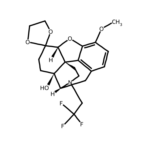 COc1ccc2c3c1O[C@H]1C4(CC[C@@]5(O)[C@@H](C2)N(CC(F)(F)F)CC[C@]315)OCCO4